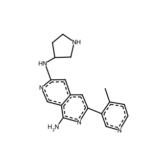 Cc1ccncc1-c1cc2cc(NC3CCNC3)ncc2c(N)n1